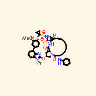 COc1cccc(-c2cccc3c2nc(O[C@@H]2C[C@H]4C(=O)N[C@]5(C(=O)NS(=O)(=O)C6(C)CC6)C[C@H]5/C=C\CCCCC[C@H](Nc5ccccc5)C(=O)N4C2)n3C(C)C)c1